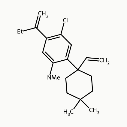 C=CC1(c2cc(Cl)c(C(=C)CC)cc2NC)CCC(C)(C)CC1